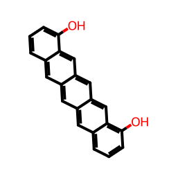 Oc1cccc2cc3cc4cc5cccc(O)c5cc4cc3cc12